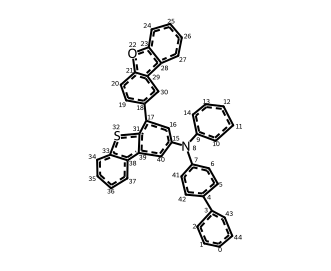 c1ccc(-c2ccc(N(c3ccccc3)c3cc(-c4ccc5oc6ccccc6c5c4)c4sc5ccccc5c4c3)cc2)cc1